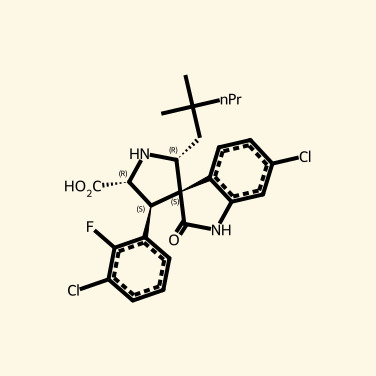 CCCC(C)(C)C[C@H]1N[C@@H](C(=O)O)[C@H](c2cccc(Cl)c2F)[C@@]12C(=O)Nc1cc(Cl)ccc12